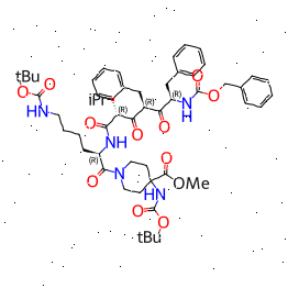 COC(=O)C1(NC(=O)OC(C)(C)C)CCN(C(=O)[C@@H](CCCCNC(=O)OC(C)(C)C)NC(=O)[C@H](CC(C)C)C(=O)[C@@H](Cc2ccccc2)C(=O)[C@@H](Cc2ccccc2)NC(=O)OCc2ccccc2)CC1